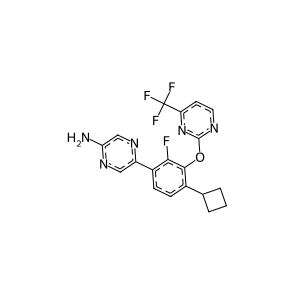 Nc1cnc(-c2ccc(C3CCC3)c(Oc3nccc(C(F)(F)F)n3)c2F)cn1